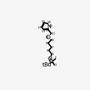 CC(C)(C)[Si](C)(C)OCCCCCOCc1ccccn1